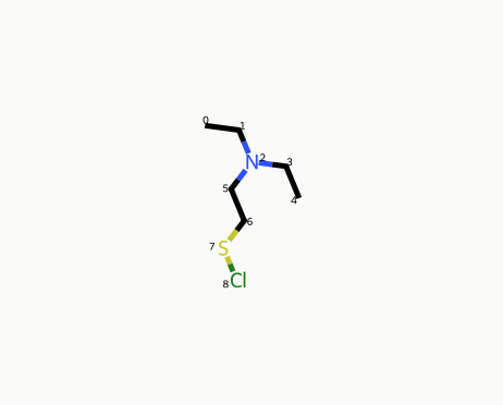 CCN(CC)CCSCl